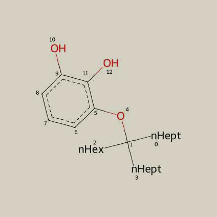 CCCCCCCC(CCCCCC)(CCCCCCC)Oc1cccc(O)c1O